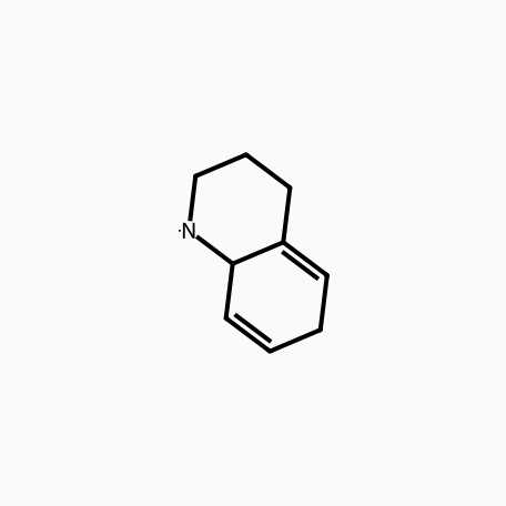 C1=CC2[N]CCCC2=CC1